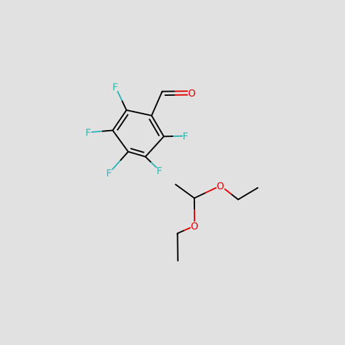 CCOC(C)OCC.O=Cc1c(F)c(F)c(F)c(F)c1F